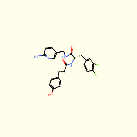 Nc1ccc(CNC(=O)[C@H](Cc2ccc(F)c(F)c2)NC(=O)CCc2ccc(O)cc2)cn1